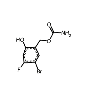 NC(=O)OCc1cc(Br)c(F)cc1O